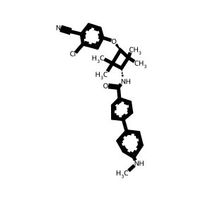 CNc1ccc(-c2ccc(C(=O)N[C@H]3C(C)(C)[C@H](Oc4ccc(C#N)c(Cl)c4)C3(C)C)cc2)cc1